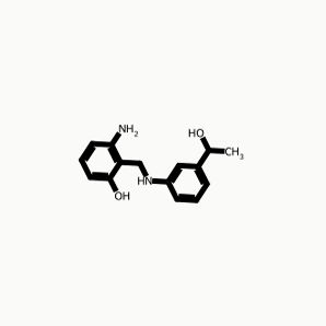 CC(O)c1cccc(NCc2c(N)cccc2O)c1